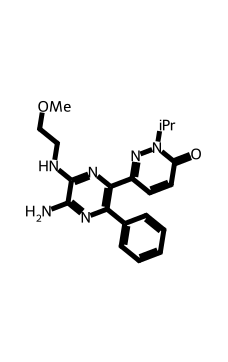 COCCNc1nc(-c2ccc(=O)n(C(C)C)n2)c(-c2ccccc2)nc1N